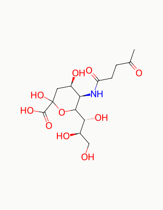 CC(=O)CCC(=O)N[C@H]1C([C@H](O)[C@H](O)CO)OC(O)(C(=O)O)C[C@H]1O